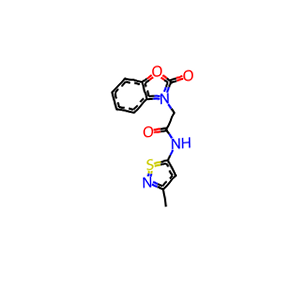 Cc1cc(NC(=O)Cn2c(=O)oc3ccccc32)sn1